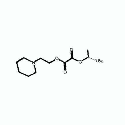 C[C@@H](OC(=O)C(=O)OCCN1CCCCC1)C(C)(C)C